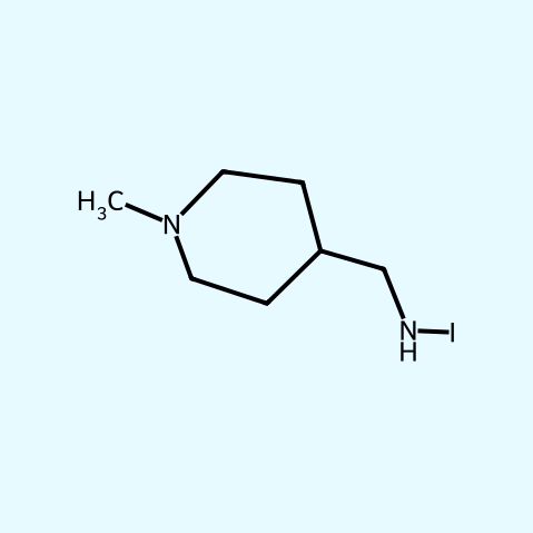 CN1CCC(CNI)CC1